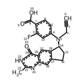 C#CCN(c1ccc(C(=O)O)c(F)c1)[C@H]1CCc2cc3nc(C)[nH]c(=O)c3cc21